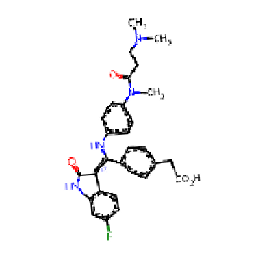 CN(C)CCC(=O)N(C)c1ccc(N/C(=C2\C(=O)Nc3cc(F)ccc32)c2ccc(CC(=O)O)cc2)cc1